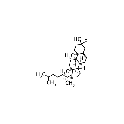 CC(C)CCC[C@@H](C)[C@H]1CC[C@H]2[C@@H]3CC=C4CC(O)(F)CC[C@]4(C)[C@H]3CC[C@]12C